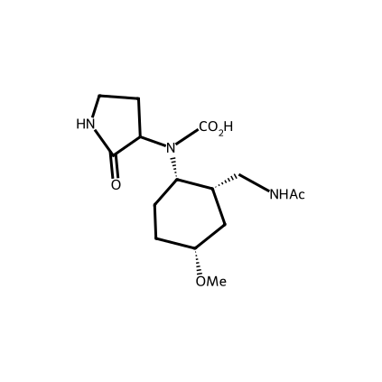 CO[C@@H]1CC[C@H](N(C(=O)O)C2CCNC2=O)[C@H](CNC(C)=O)C1